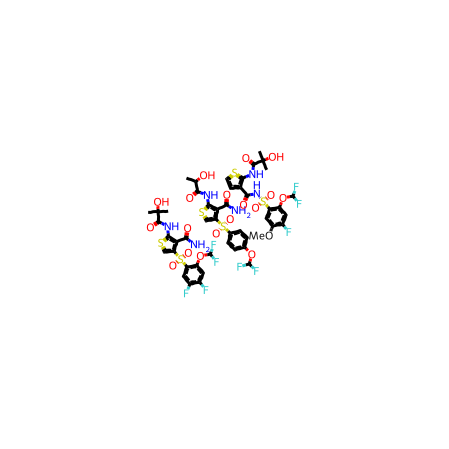 CC(C)(O)C(=O)Nc1scc(S(=O)(=O)c2cc(F)c(F)cc2OC(F)F)c1C(N)=O.CC(O)C(=O)Nc1scc(S(=O)(=O)c2ccc(OC(F)F)cc2)c1C(N)=O.COc1cc(S(=O)(=O)NC(=O)c2ccsc2NC(=O)C(C)(C)O)c(OC(F)F)cc1F